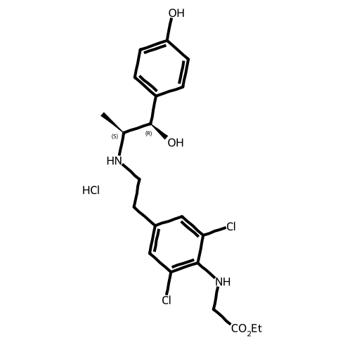 CCOC(=O)CNc1c(Cl)cc(CCN[C@@H](C)[C@H](O)c2ccc(O)cc2)cc1Cl.Cl